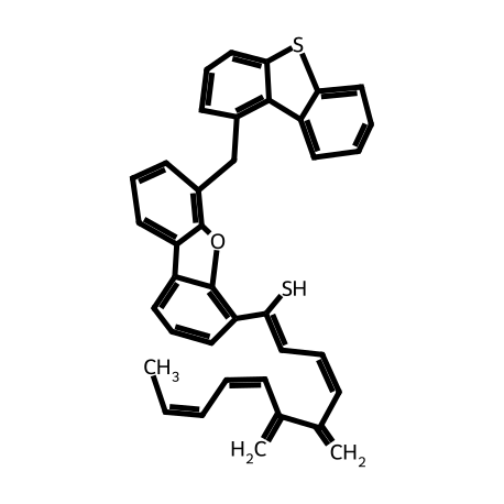 C=C(/C=C\C=C/C)C(=C)/C=C\C=C(/S)c1cccc2c1oc1c(Cc3cccc4sc5ccccc5c34)cccc12